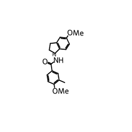 COc1ccc2c(c1)CC[C@H]2NC(=O)c1ccc(OC)c(C)c1